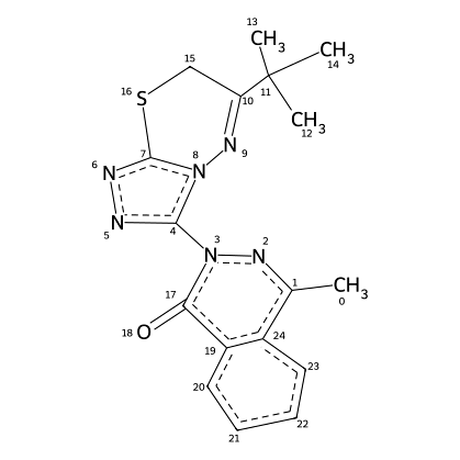 Cc1nn(-c2nnc3n2N=C(C(C)(C)C)CS3)c(=O)c2ccccc12